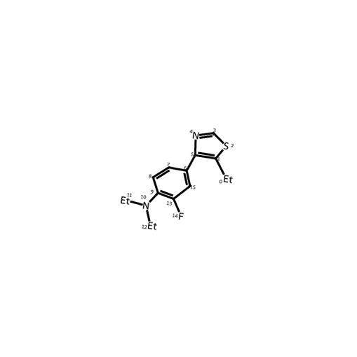 CCc1s[c]nc1-c1ccc(N(CC)CC)c(F)c1